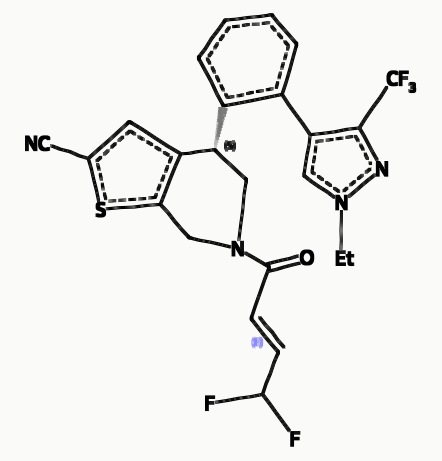 CCn1cc(-c2ccccc2[C@@H]2CN(C(=O)/C=C/C(F)F)Cc3sc(C#N)cc32)c(C(F)(F)F)n1